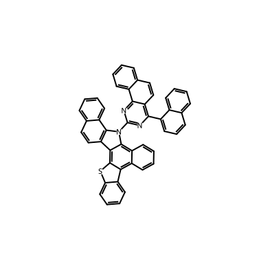 c1ccc2c(-c3nc(-n4c5c6ccccc6ccc5c5c6sc7ccccc7c6c6ccccc6c54)nc4c3ccc3ccccc34)cccc2c1